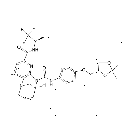 Cc1cc(C(=O)N[C@H](C)C(F)(F)F)nc2c1N1CCC[C@@H](C1)N2C(=O)Nc1ccc(OC[C@@H]2COC(C)(C)O2)cn1